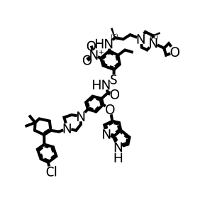 CCc1cc(SNC(=O)c2ccc(N3CCN(CC4=C(c5ccc(Cl)cc5)CC(C)(C)CC4)CC3)cc2Oc2cnc3[nH]ccc3c2)cc([N+](=O)[O-])c1N[C@@H](C)CCN1CCN(C2COC2)[C@H](C)C1